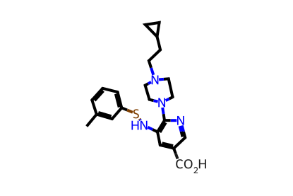 Cc1cccc(SNc2cc(C(=O)O)cnc2N2CCN(CCC3CC3)CC2)c1